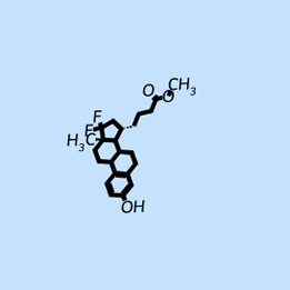 COC(=O)CCC[C@H]1CC(F)(F)[C@@]2(C)CCC3c4ccc(O)cc4CCC3C12